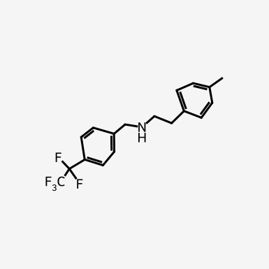 Cc1ccc(CCNCc2ccc(C(F)(F)C(F)(F)F)cc2)cc1